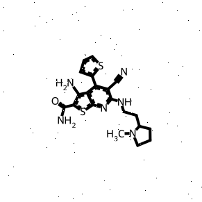 CN1CCCC1CCNc1nc2sc(C(N)=O)c(N)c2c(-c2cccs2)c1C#N